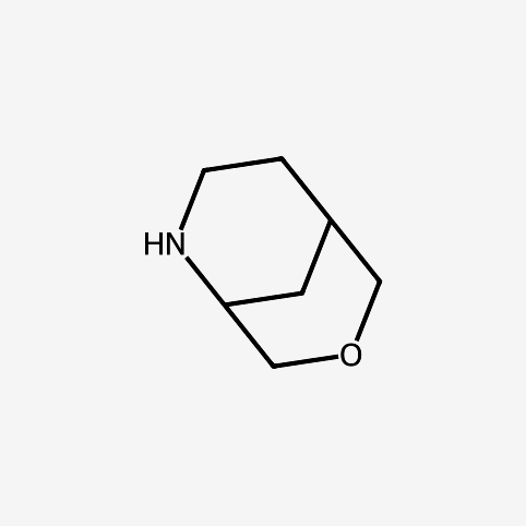 C1CC2COCC(C2)N1